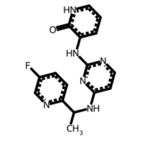 CC(Nc1ccnc(Nc2ccc[nH]c2=O)n1)c1ccc(F)cn1